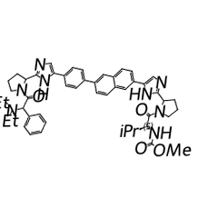 CCN(CC)C(C(=O)N1CCCC1c1ncc(-c2ccc(-c3ccc4cc(-c5cnc(C6CCCN6C(=O)[C@@H](NC(=O)OC)C(C)C)[nH]5)ccc4c3)cc2)[nH]1)c1ccccc1